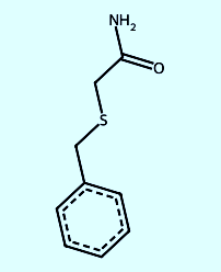 NC(=O)CSCc1ccccc1